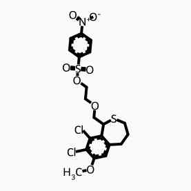 COc1cc2c(c(Cl)c1Cl)C(COCCOS(=O)(=O)c1ccc([N+](=O)[O-])cc1)SCCC2